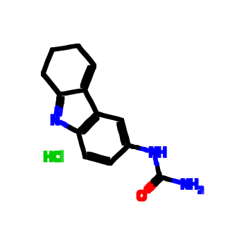 Cl.NC(=O)Nc1ccc2c(c1)C1=CCCCC1=N2